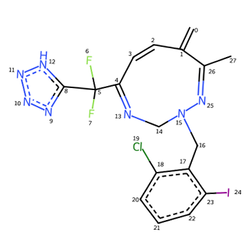 C=C1/C=C\C(C(F)(F)c2nnn[nH]2)=N/CN(Cc2c(Cl)cccc2I)/N=C\1C